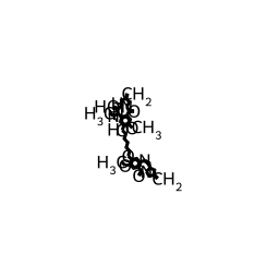 C=C1CC2C=Nc3cc(OCCCCCOc4cc5c(cc4OC)C(=O)N4CC(=C)C[C@H]4C(O)N5NC)c(OC)cc3C(=O)N2C1